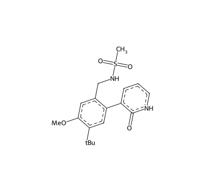 COc1cc(CNS(C)(=O)=O)c(-c2ccc[nH]c2=O)cc1C(C)(C)C